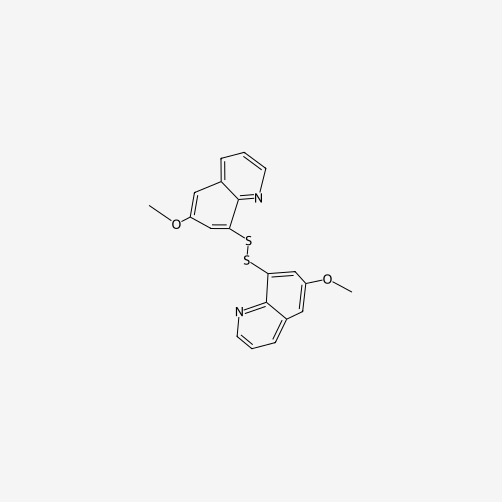 COc1cc(SSc2cc(OC)cc3cccnc23)c2ncccc2c1